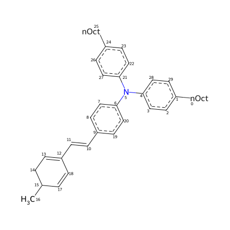 CCCCCCCCc1ccc(N(c2ccc(/C=C/C3=CCC(C)C=C3)cc2)c2ccc(CCCCCCCC)cc2)cc1